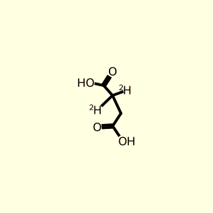 [2H]C([2H])(CC(=O)O)C(=O)O